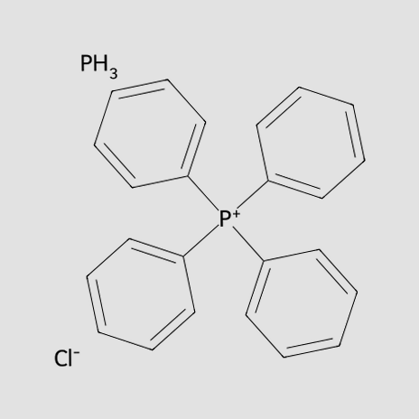 P.[Cl-].c1ccc([P+](c2ccccc2)(c2ccccc2)c2ccccc2)cc1